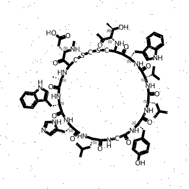 CN[C@@H](CC(=O)O)C(=O)C1CSCSCC(N[C@H](C(C)=O)[C@@H](C)O)C(=O)[C@H](Cc2c[nH]c3ccccc23)NC(=O)[C@H](C(C)C)NC(=O)[C@H](CC(C)C)NC(=O)[C@H](Cc2ccc(O)cc2)NC(=O)CNC(=O)[C@H](CC(C)C)NC(=O)[C@H](Cc2cnc[nH]2)NC(=O)[C@H](Cc2c[nH]c3ccccc23)NC(=O)[C@H](C)N1